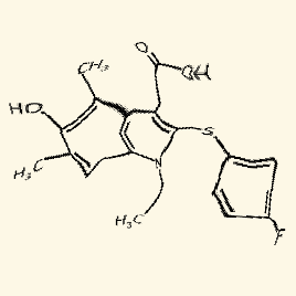 CCn1c(Sc2ccc(F)cc2)c(C(=O)O)c2c(C)c(O)c(C)cc21